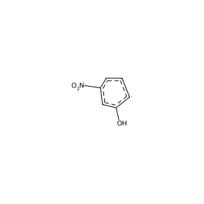 O=[N+]([O-])c1cc[c]c(O)c1